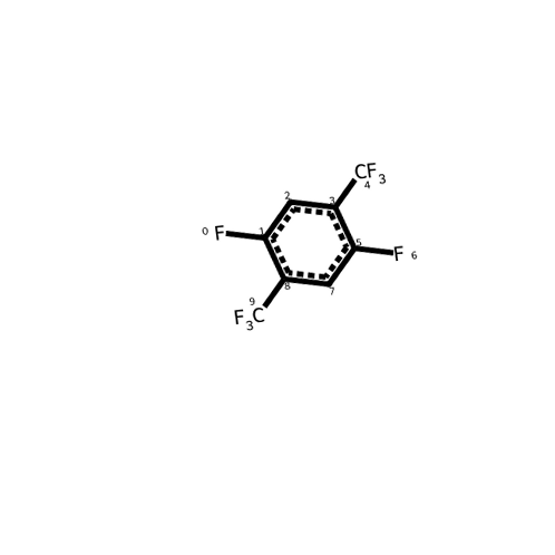 Fc1cc(C(F)(F)F)c(F)cc1C(F)(F)F